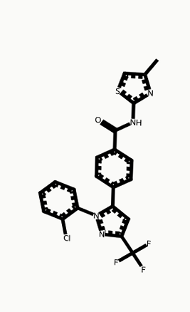 Cc1csc(NC(=O)c2ccc(-c3cc(C(F)(F)F)nn3-c3ccccc3Cl)cc2)n1